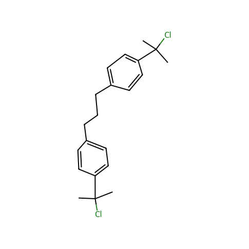 CC(C)(Cl)c1ccc(CCCc2ccc(C(C)(C)Cl)cc2)cc1